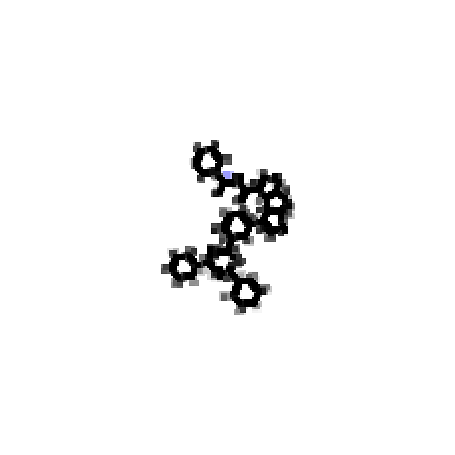 C=C(/N=C(\C)c1ccccc1)c1csc2sc3scc(-c4cccc(-c5nc(-c6ccccc6)nc(-c6ccccc6)n5)c4)c3c12